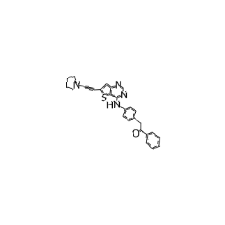 O=C(Cc1ccc(Nc2ncnc3cc(C#CN4CCCC4)sc23)cc1)c1ccccc1